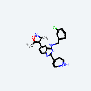 Cc1noc(C)c1-c1ccc2nc(C3=CCNCC3)nc(NCc3cccc(Cl)c3)c2c1